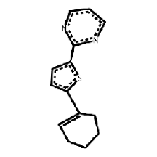 C1=C(c2ccc(-c3ncccn3)s2)CCCC1